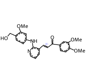 COc1cc(Nc2ncccc2/C=C/C(=O)c2ccc(OC)c(OC)c2)ccc1CO